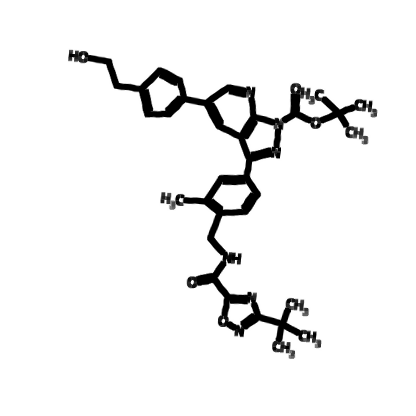 Cc1cc(-c2nn(C(=O)OC(C)(C)C)c3ncc(-c4ccc(CCO)cc4)cc23)ccc1CNC(=O)c1nc(C(C)(C)C)no1